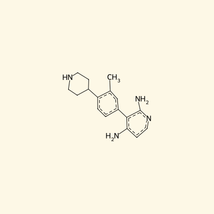 Cc1cc(-c2c(N)ccnc2N)ccc1C1CCNCC1